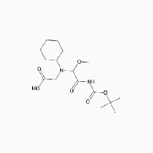 COC(C(=O)NC(=O)OC(C)(C)C)N(CC(=O)O)C1CCCCC1